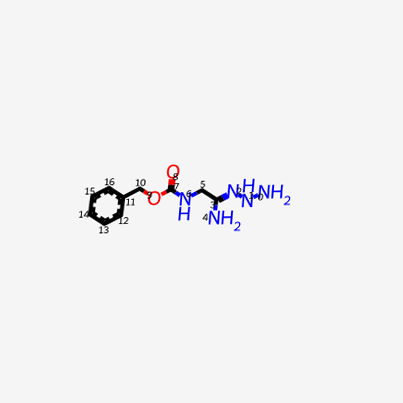 NN/N=C(\N)CNC(=O)OCc1ccccc1